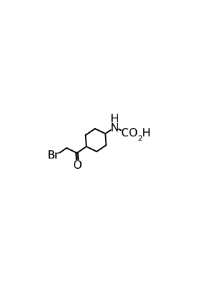 O=C(O)NC1CCC(C(=O)CBr)CC1